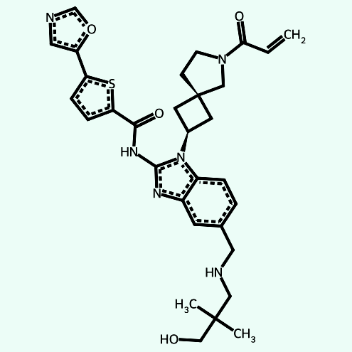 C=CC(=O)N1CC[C@]2(C1)C[C@H](n1c(NC(=O)c3ccc(-c4cnco4)s3)nc3cc(CNCC(C)(C)CO)ccc31)C2